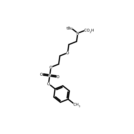 Cc1ccc(OS(=O)(=O)OCCOCCN(C(=O)O)C(C)(C)C)cc1